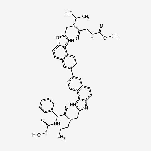 CCCN(Cc1nc2ccc3cc(-c4ccc5c(ccc6nc(CN(C(=O)CNC(=O)OC)C(C)C)[nH]c65)c4)ccc3c2[nH]1)C(=O)[C@H](NC(=O)OC)c1ccccc1